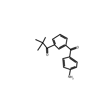 CC(C)(C)C(=O)c1cccc(C(=O)c2ccc(N)cc2)c1